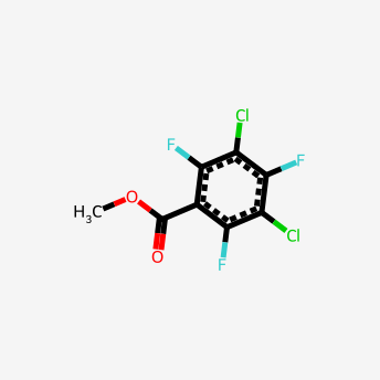 COC(=O)c1c(F)c(Cl)c(F)c(Cl)c1F